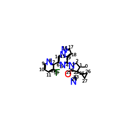 C[C@@H]1CN(c2nc(-c3ncccc3F)cn3nccc23)C(=O)[C@]1(C#N)C1CC1